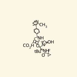 Cc1ncsc1-c1ccc(C(COCC(=O)O)NC(=O)[C@@H]2C[C@@H](O)CN2C(=O)[C@@H](NC(=O)C2(F)CC2)C(C)(C)C)cc1